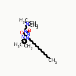 CCCCCCCCCCCCCCCCn1c2nc(=O)n(CCC[N+](CC)(CC)CC)c(=O)c-2nc2cc(C)c(C)cc21